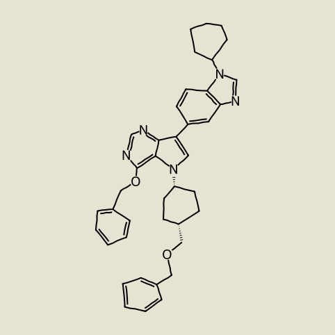 c1ccc(COC[C@H]2CC[C@@H](n3cc(-c4ccc5c(c4)ncn5C4CCCCC4)c4ncnc(OCc5ccccc5)c43)CC2)cc1